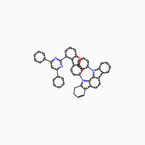 C1=Cc2c(n(-c3ccc4c(c3)oc3cccc(-c5nc(-c6ccccc6)cc(-c6ccccc6)n5)c34)c3c2ccc2c4ccccc4n(-c4ccccc4)c23)CC1